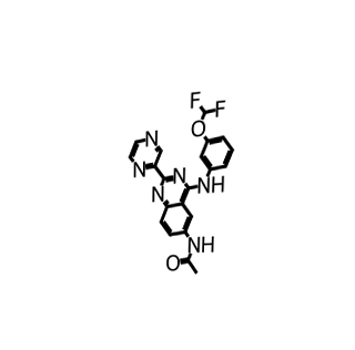 CC(=O)Nc1ccc2nc(-c3cnccn3)nc(Nc3cccc(OC(F)F)c3)c2c1